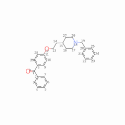 O=C(c1ccccc1)c1ccc(OCCC2CCN(Cc3ccccc3)CC2)cc1